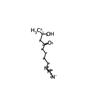 CC(O)CC(=O)CCCCN=[N+]=[N-]